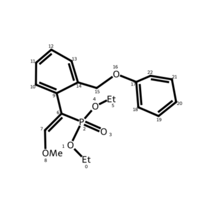 CCOP(=O)(OCC)C(=COC)c1ccccc1COc1ccccc1